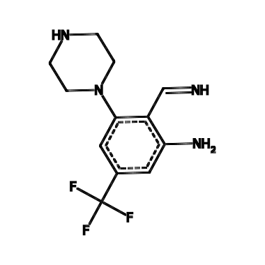 N=Cc1c(N)cc(C(F)(F)F)cc1N1CCNCC1